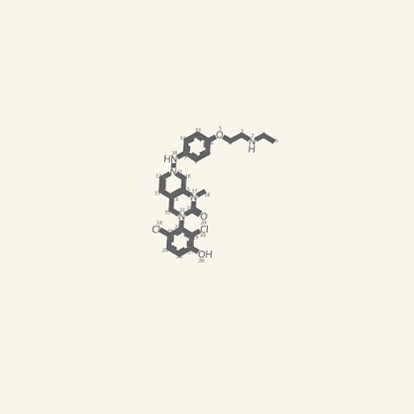 CCNCCOc1ccc(NN2C=CC3=C(C2)N(C)C(=O)N(c2c(Cl)ccc(O)c2Cl)C3)cc1